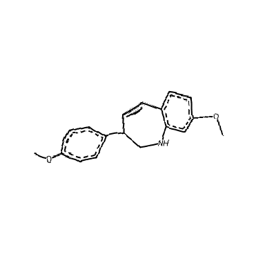 COc1ccc(C2C=Cc3ccc(OC)cc3NC2)cc1